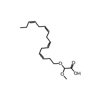 CC/C=C\C/C=C\C/C=C\C/C=C\CCOC(OC)C(=O)O